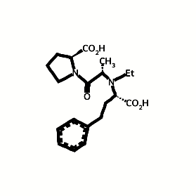 CCN([C@@H](C)C(=O)N1CCC[C@H]1C(=O)O)[C@@H](CCc1ccccc1)C(=O)O